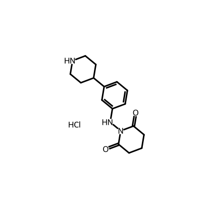 Cl.O=C1CCCC(=O)N1Nc1cccc(C2CCNCC2)c1